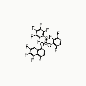 Fc1ccc(F)c(OB(Oc2c(F)c(F)c(F)c(F)c2F)Oc2ccc(F)c3c(F)c(F)c(F)cc23)c1F